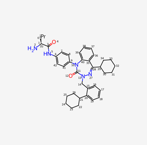 CC(C)[C@H](N)C(=O)Nc1ccc(N2C(=O)N(Cc3ccccc3C3CCCCC3)N=C(C3CCCCC3)c3ccccc32)cc1